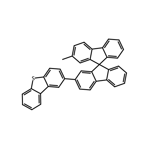 Cc1ccc2c(c1)C1(c3ccccc3-2)c2ccccc2-c2ccc(-c3ccc4sc5ccccc5c4c3)cc21